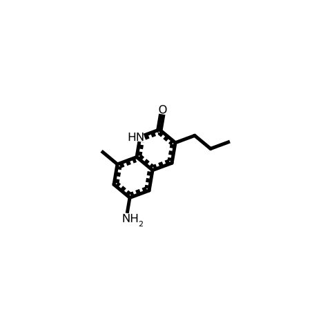 CCCc1cc2cc(N)cc(C)c2[nH]c1=O